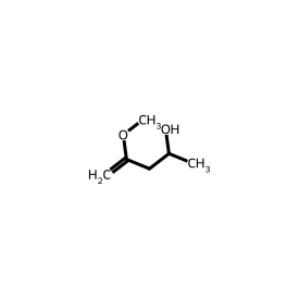 C=C(CC(C)O)OC